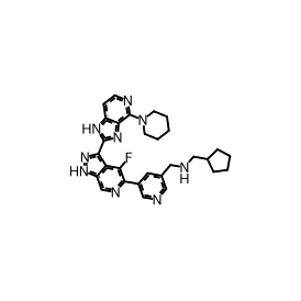 Fc1c(-c2cncc(CNCC3CCCC3)c2)ncc2[nH]nc(-c3nc4c(N5CCCCC5)nccc4[nH]3)c12